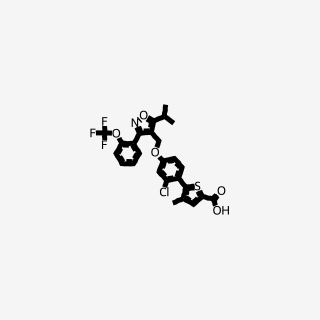 Cc1cc(C(=O)O)sc1-c1ccc(OCc2c(-c3ccccc3OC(F)(F)F)noc2C(C)C)cc1Cl